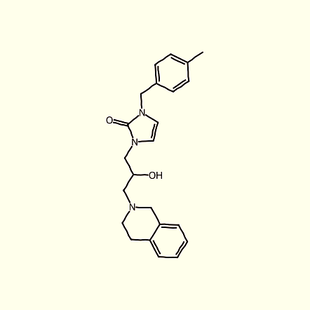 Cc1ccc(Cn2ccn(CC(O)CN3CCc4ccccc4C3)c2=O)cc1